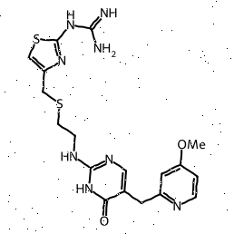 COc1ccnc(Cc2cnc(NCCSCc3csc(NC(=N)N)n3)[nH]c2=O)c1